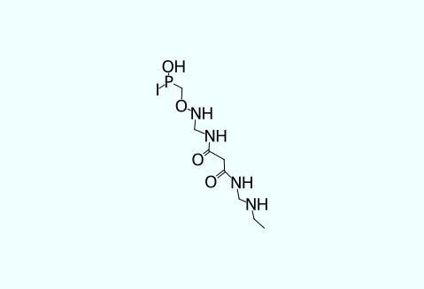 CCNCNC(=O)CC(=O)NCNOCP(O)I